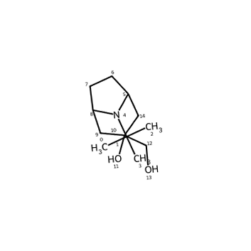 CC(C)(C)N1C2CCC1CC(O)(CO)C2